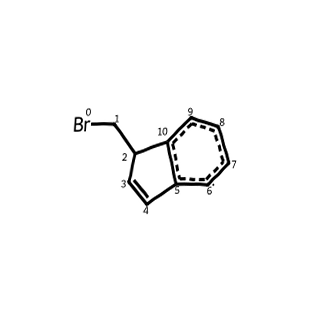 BrCC1C=Cc2[c]cccc21